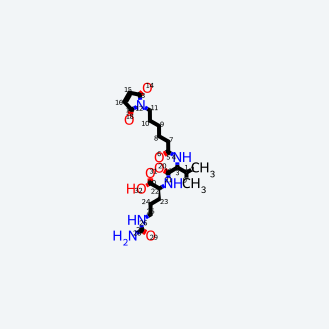 CC(C)C(NC(=O)CCCCCN1C(=O)C=CC1=O)C(=O)N[C@@H](CCCNC(N)=O)C(=O)O